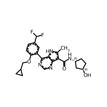 Cc1[nH]c2c(-c3cc(C(F)F)ccc3OCC3CC3)ncnc2c1C(=O)N[C@@H]1CC[C@@H](O)C1